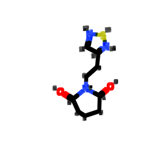 O=C1CCCC(=O)N1CCc1cnsn1